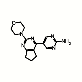 Nc1ncc(-c2nc(N3CCOCC3)nc3c2CCC3)cn1